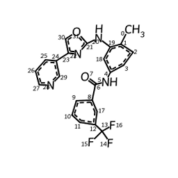 Cc1ccc(NC(=O)c2cccc(C(F)(F)F)c2)cc1Nc1nc(-c2cccnc2)co1